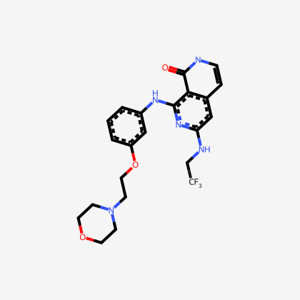 O=C1[N]C=Cc2cc(NCC(F)(F)F)nc(Nc3cccc(OCCN4CCOCC4)c3)c21